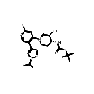 CC(C)(C)OC(=O)N[C@@H]1CCN(c2cc(Cl)ncc2-c2cnn(C(F)F)c2)C[C@H]1O